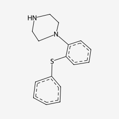 c1ccc(Sc2ccccc2N2CCNCC2)cc1